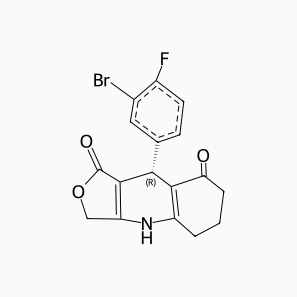 O=C1CCCC2=C1[C@@H](c1ccc(F)c(Br)c1)C1=C(COC1=O)N2